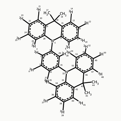 [2H]c1c([2H])c(N2c3c([2H])c([2H])c([2H])c([2H])c3C(C)(C)c3c([2H])c([2H])c([2H])c([2H])c32)c([2H])c(N2c3c([2H])c([2H])c([2H])c([2H])c3C(C)(C)c3c([2H])c([2H])c([2H])c([2H])c32)c1[2H]